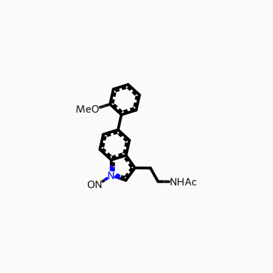 COc1ccccc1-c1ccc2c(c1)c(CCNC(C)=O)cn2N=O